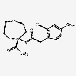 COC(=O)C1(NC(=O)Cc2ccc(OC)cc2Cl)CCCCCC1